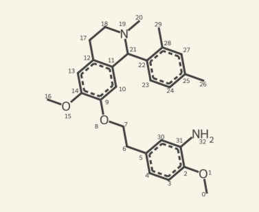 COc1ccc(CCOc2cc3c(cc2OC)CCN(C)C3c2ccc(C)cc2C)cc1N